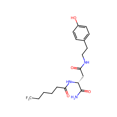 NC(=O)[C@@H](CC(=O)NCCc1ccc(O)cc1)NC(=O)CCCCC(F)(F)F